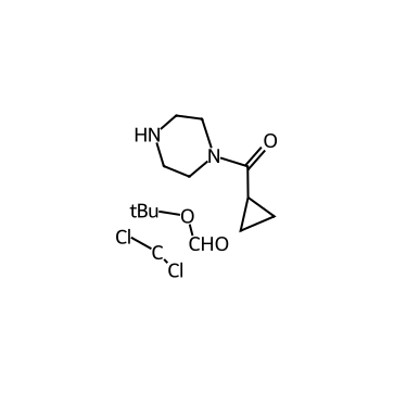 CC(C)(C)OC=O.ClCCl.O=C(C1CC1)N1CCNCC1